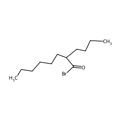 CCCCCCC(CCCC)C(=O)Br